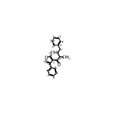 Cc1onc(-c2ccccc2)c1C(=O)C(C)CCc1cccnc1